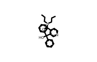 CCCN(CCC)C(=O)c1ccncc1C(O)(c1ccccc1)c1ccccc1